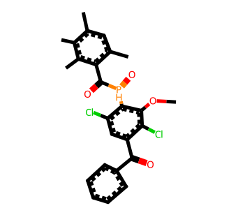 COc1c(Cl)c(C(=O)c2ccccc2)cc(Cl)c1[PH](=O)C(=O)c1c(C)cc(C)c(C)c1C